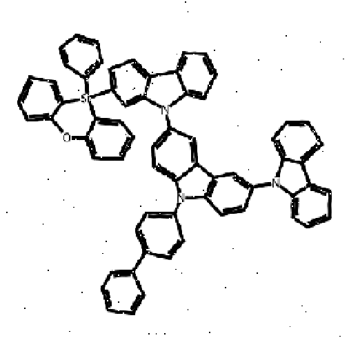 c1ccc(-c2ccc(-n3c4ccc(-n5c6ccccc6c6ccccc65)cc4c4cc(-n5c6ccccc6c6ccc([Si]7(c8ccccc8)c8ccccc8Oc8ccccc87)cc65)ccc43)cc2)cc1